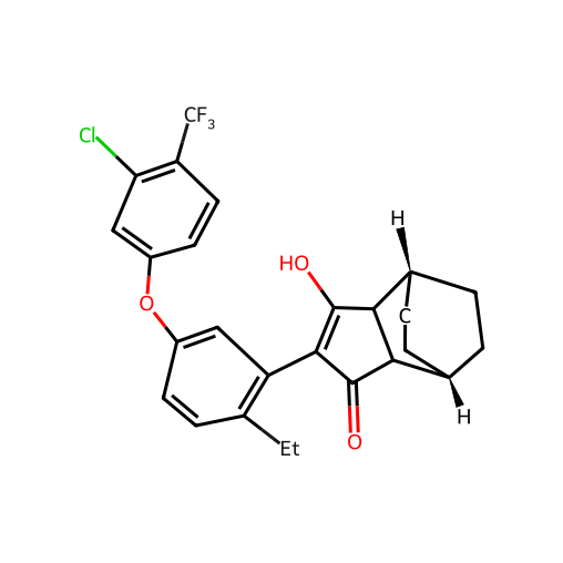 CCc1ccc(Oc2ccc(C(F)(F)F)c(Cl)c2)cc1C1=C(O)C2C(C1=O)[C@H]1CC[C@@H]2CC1